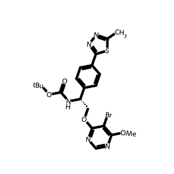 COc1ncnc(OC[C@H](NC(=O)OC(C)(C)C)c2ccc(-c3nnc(C)s3)cc2)c1Br